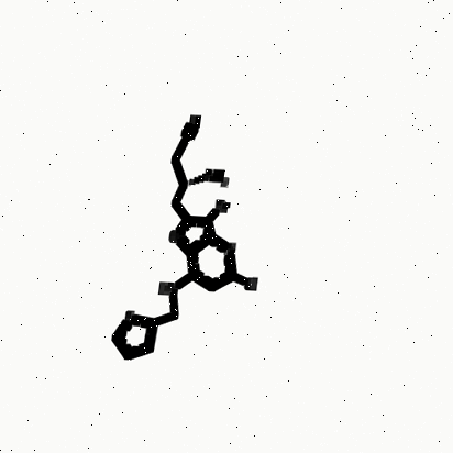 N#CC[C@H](N)Cc1oc2c(NCc3cccs3)cc(Cl)nc2c1Br